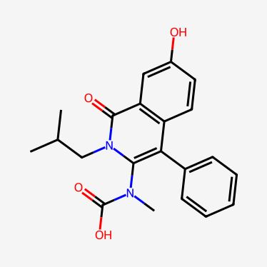 CC(C)Cn1c(N(C)C(=O)O)c(-c2ccccc2)c2ccc(O)cc2c1=O